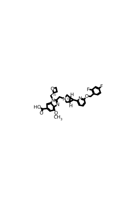 COc1cc(C(=O)O)cc2c1nc(CN1C[C@@H]3C(c4cccc(OCc5ccc(F)cc5F)n4)[C@@H]3C1)n2C[C@@H]1CCO1